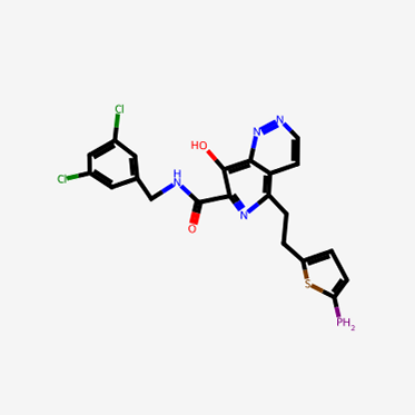 O=C(NCc1cc(Cl)cc(Cl)c1)c1nc(CCc2ccc(P)s2)c2ccnnc2c1O